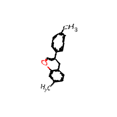 Cc1ccc(C2=COc3cc(C)ccc3C2)cc1